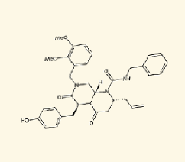 C=CC[C@@H]1CC(=O)C2[C@@H](Cc3ccc(O)cc3)C(=O)N(Cc3cccc(OC)c3OC)C[C@@H]2N1C(=O)NCc1ccccc1